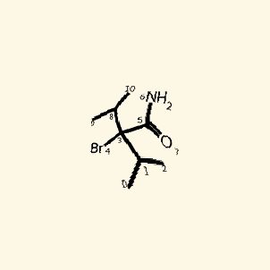 CC(C)C(Br)(C(N)=O)C(C)C